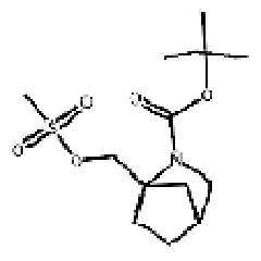 CC(C)(C)OC(=O)N1CC2CCC1(COS(C)(=O)=O)C2